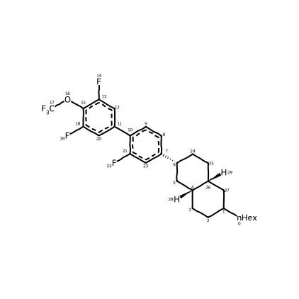 CCCCCCC1CC[C@@H]2C[C@H](c3ccc(-c4cc(F)c(OC(F)(F)F)c(F)c4)c(F)c3)CC[C@@H]2C1